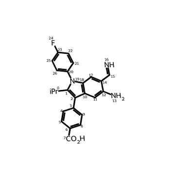 CC(C)c1c(-c2ccc(C(=O)O)cc2)c2cc(N)c(C=N)cc2n1-c1ccc(F)cc1